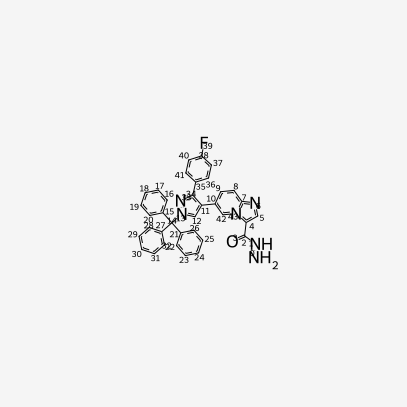 NNC(=O)c1cnc2ccc(-c3cn(C(c4ccccc4)(c4ccccc4)c4ccccc4)nc3-c3ccc(F)cc3)cn12